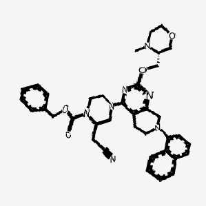 CN1CCOC[C@@H]1COc1nc2c(c(N3CCN(C(=O)OCc4ccccc4)C(CC#N)C3)n1)CCN(c1cccc3ccccc13)C2